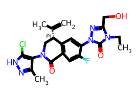 C=C(C)[C@H]1CN(c2c(C)n[nH]c2Cl)C(=O)c2cc(F)c(-n3nc(CO)n(CC)c3=O)cc21